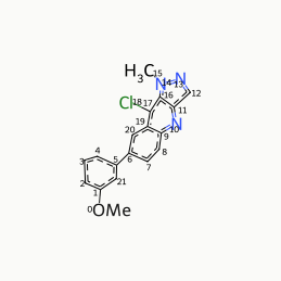 COc1cccc(-c2ccc3nc4cnn(C)c4c(Cl)c3c2)c1